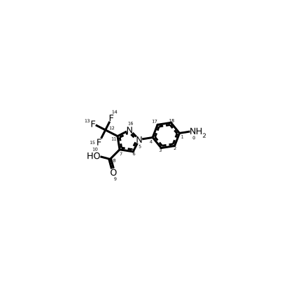 Nc1ccc(-n2cc(C(=O)O)c(C(F)(F)F)n2)cc1